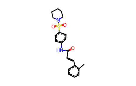 Cc1ccccc1C=CC(=O)Nc1ccc(S(=O)(=O)N2CCCCC2)cc1